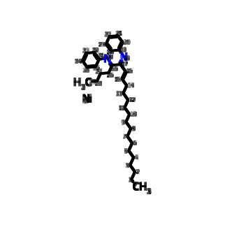 CCCCCCCCCCCCCCCC=CC(=Nc1ccccc1)C(CCCC)=Nc1ccccc1.[Ni]